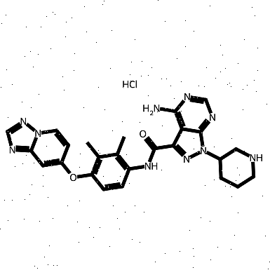 Cc1c(NC(=O)c2nn(C3CCCNC3)c3ncnc(N)c23)ccc(Oc2ccn3ncnc3c2)c1C.Cl